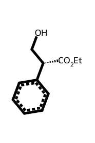 CCOC(=O)[C@@H](CO)c1ccccc1